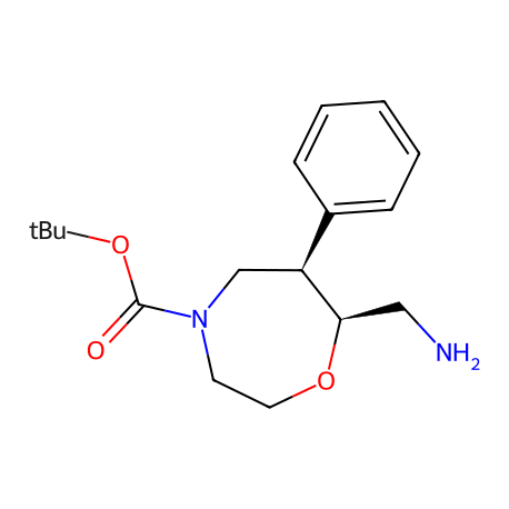 CC(C)(C)OC(=O)N1CCO[C@H](CN)[C@H](c2ccccc2)C1